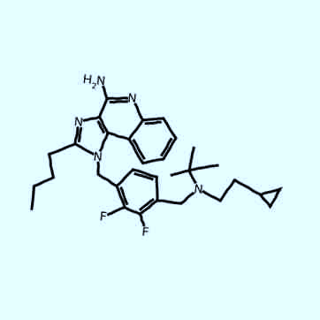 CCCCc1nc2c(N)nc3ccccc3c2n1Cc1ccc(CN(CCC2CC2)C(C)(C)C)c(F)c1F